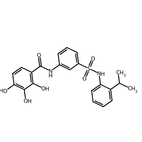 CC(C)c1ccccc1NS(=O)(=O)c1cccc(NC(=O)c2ccc(O)c(O)c2O)c1